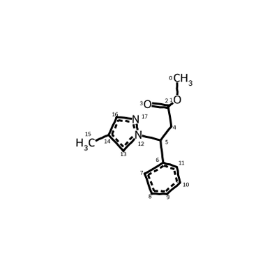 COC(=O)CC(c1ccccc1)n1cc(C)cn1